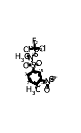 Cc1ccc(S(=O)(=O)N(C)SC(F)(Cl)Cl)cc1[N+](=O)[O-]